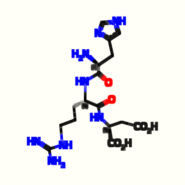 N=C(N)NCCC[C@H](NC(=O)[C@@H](N)Cc1c[nH]cn1)C(=O)N[C@@H](CC(=O)O)C(=O)O